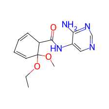 CCOC1(OC)C=CC=CC1C(=O)Nc1cncnc1N